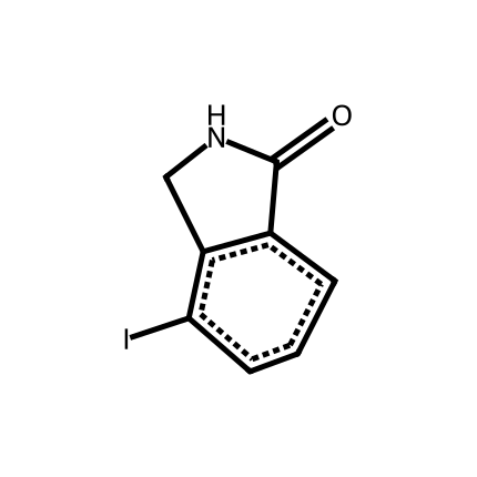 O=C1NCc2c(I)cccc21